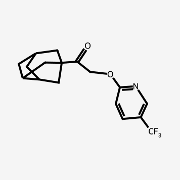 O=C(COc1ccc(C(F)(F)F)cn1)C12CC3CC(C1)C(C3)C2